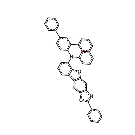 c1ccc(-c2ccc(N(c3ccccc3)c3cccc4c3oc3cc5nc(-c6ccccc6)oc5cc34)c(-c3ccccc3)c2)cc1